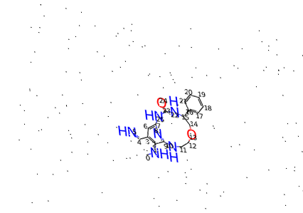 CNc1c(C=N)cc2nc1NCCOC[C@H](c1ccccc1)NC(=O)N2